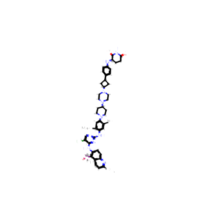 CCc1cc(Nc2ncc(Br)c(Nc3ccc4nc(C)ccc4c3P(C)(C)=O)n2)c(OC)cc1N1CCC(N2CCN(C3CC(c4ccc(NC5CCC(=O)NC5=O)cc4)C3)CC2)CC1